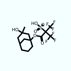 CC1(O)CC2CCCC(OC(=O)C(C(F)(F)F)(C(F)(F)F)S(=O)(=O)O)(C2)C1